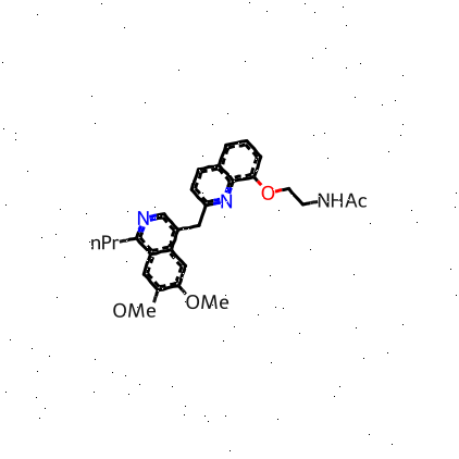 CCCc1ncc(Cc2ccc3cccc(OCCNC(C)=O)c3n2)c2cc(OC)c(OC)cc12